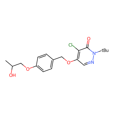 CC(O)COc1ccc(COc2cnn(C(C)(C)C)c(=O)c2Cl)cc1